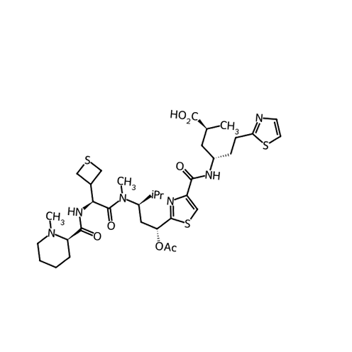 CC(=O)O[C@H](C[C@H](C(C)C)N(C)C(=O)[C@@H](NC(=O)[C@H]1CCCCN1C)C1CSC1)c1nc(C(=O)N[C@@H](CCc2nccs2)C[C@H](C)C(=O)O)cs1